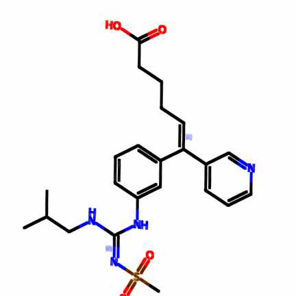 CC(C)CN/C(=N/S(C)(=O)=O)Nc1cccc(/C(=C\CCCC(=O)O)c2cccnc2)c1